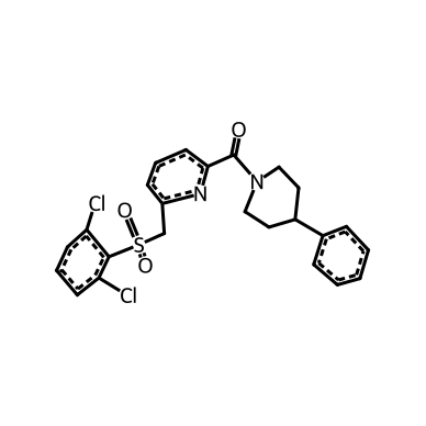 O=C(c1cccc(CS(=O)(=O)c2c(Cl)cccc2Cl)n1)N1CCC(c2ccccc2)CC1